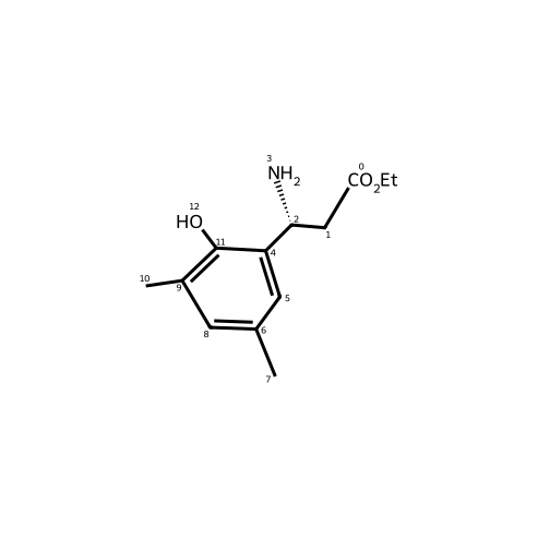 CCOC(=O)C[C@@H](N)c1cc(C)cc(C)c1O